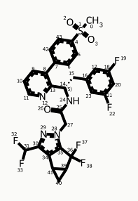 CS(=O)(=O)c1ccc(-c2cccnc2[C@H](Cc2cc(F)cc(F)c2)NC(=O)Cn2nc(C(F)F)c3c2C(F)(F)C2CC32)cc1